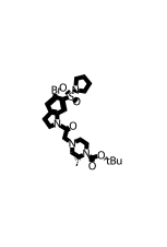 C[C@@H]1CN(CC(=O)N2CCc3cc(Br)c(S(=O)(=O)N4CCCC4)cc32)CCN1C(=O)OC(C)(C)C